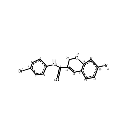 O=C(Nc1ccc(Br)cc1)C1=Cc2ccc(Br)cc2OC1